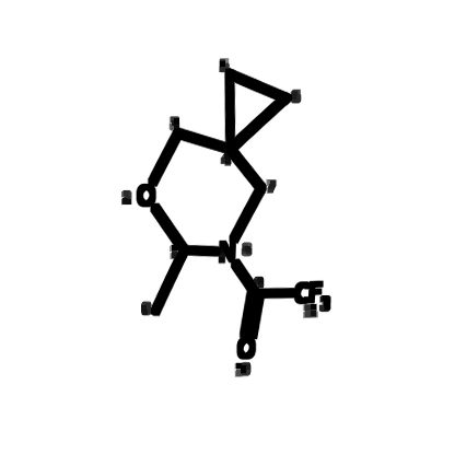 CC1OCC2(CC2)CN1C(=O)C(F)(F)F